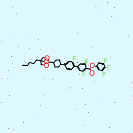 CCCCCC12COC(C3CCC(c4ccc(-c5cc(F)c(C(=O)Oc6cc(F)c(F)c(F)c6)c(F)c5)c(F)c4)CC3)(OC1)OC2